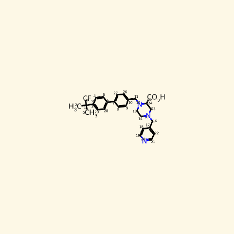 CC(C)(c1ccc(-c2ccc(CN3CCN(Cc4ccncc4)CC3C(=O)O)cc2)cc1)C(F)(F)F